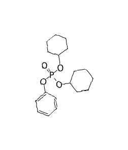 O=P(Oc1ccccc1)(OC1CCCCC1)OC1CCCCC1